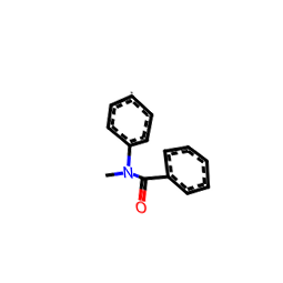 CN(C(=O)c1ccccc1)c1cc[c]cc1